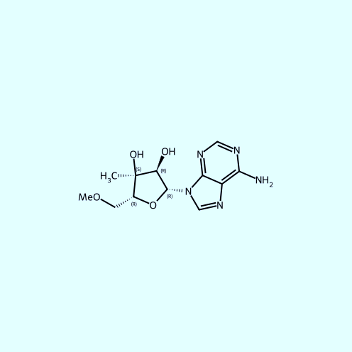 COC[C@H]1O[C@@H](n2cnc3c(N)ncnc32)[C@H](O)[C@]1(C)O